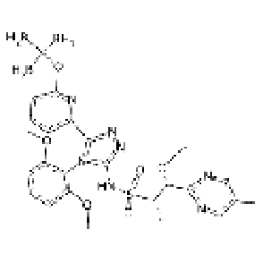 BC(B)(B)Oc1cccc(-c2nnc(NS(=O)(=O)[C@@H](C)[C@H](OC)c3ncc(C)cn3)n2-c2c(OC)cccc2OC)n1